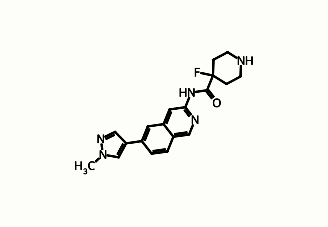 Cn1cc(-c2ccc3cnc(NC(=O)C4(F)CCNCC4)cc3c2)cn1